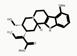 C/C=C(/C(=O)OC)[C@H]1C[C@H]2c3[nH]c4cccc(OC)c4c3CCN2C[C@H]1CO